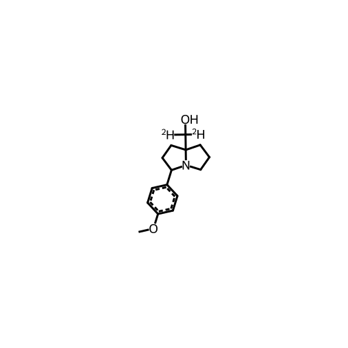 [2H]C([2H])(O)C12CCCN1C(c1ccc(OC)cc1)CC2